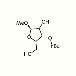 CCCCO[C@H]1C(O)[C@H](OC)O[C@@H]1CO